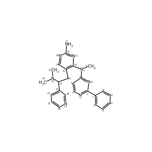 CN(c1ccnc(-c2ccccc2)n1)c1nc(N)ncc1CC(c1cccnc1)N(C)C